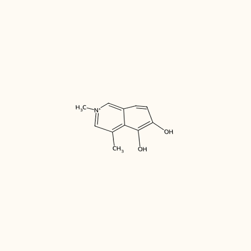 Cc1c[n+](C)cc2ccc(O)c(O)c12